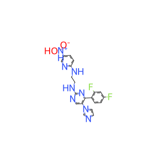 [O-][NH+](O)c1ccc(NCCNc2ncc(-n3ccnc3)c(-c3ccc(F)cc3F)n2)nc1